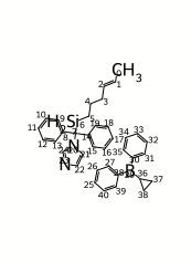 CC=CCCC[SiH2]C(c1ccccc1)(c1ccccc1)n1ccnc1.c1ccc(B(c2ccccc2)C2CC2)cc1